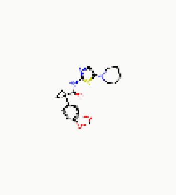 O=C(Nc1ncc(N2CCCCC2)s1)C1(c2ccc3c(c2)OCO3)CC1